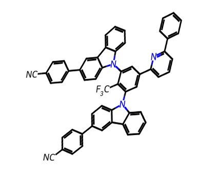 N#Cc1ccc(-c2ccc3c(c2)c2ccccc2n3-c2cc(-c3cccc(-c4ccccc4)n3)cc(-n3c4ccccc4c4cc(-c5ccc(C#N)cc5)ccc43)c2C(F)(F)F)cc1